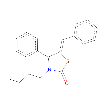 CCCCN1C(=O)S/C(=C\c2ccccc2)C1c1ccccc1